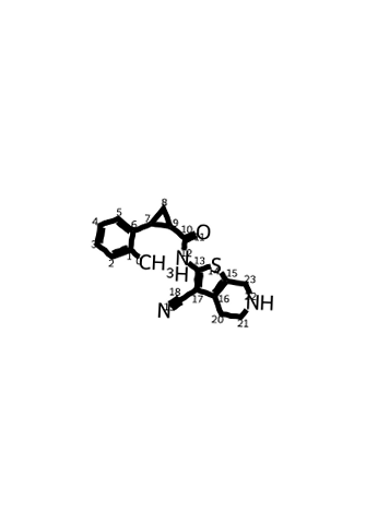 Cc1ccccc1C1CC1C(=O)Nc1sc2c(c1C#N)CCNC2